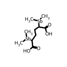 [CH3][Sb]([CH3])[CH](CC[CH](C(=O)O)[Sb]([CH3])[CH3])C(=O)O